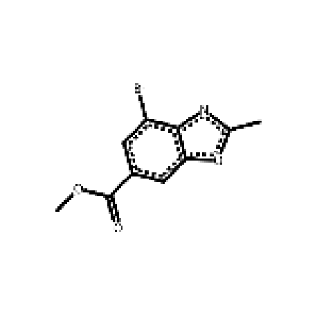 COC(=O)c1cc(Br)c2nc(C)oc2c1